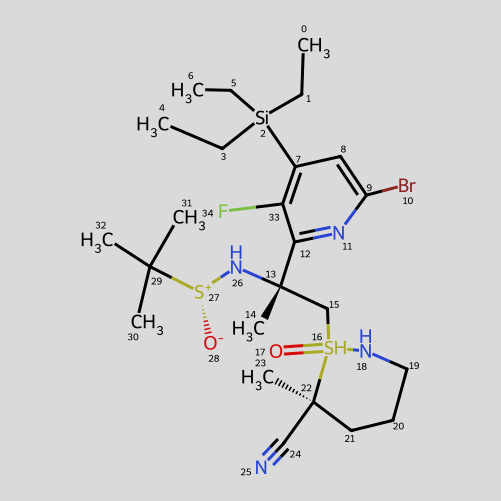 CC[Si](CC)(CC)c1cc(Br)nc([C@](C)(C[SH]2(=O)NCCC[C@@]2(C)C#N)N[S@+]([O-])C(C)(C)C)c1F